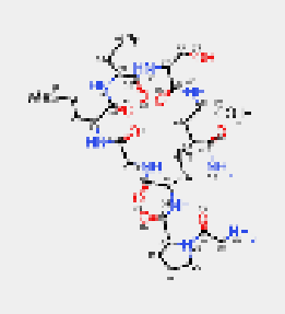 CSCC[C@H](NC(=O)CNC(=O)[C@H](CC(C)C)NC(=O)[C@@H]1CCCN1C(=O)CN)C(=O)N[C@@H](CC(C)C)C(=O)N[C@@H](CO)C(=O)N[C@@H](CCC(N)=O)C(=O)O